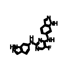 Fc1cnc(Nc2ccc3cn[nH]c3c2)nc1Nc1ccc2cn[nH]c2c1